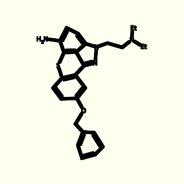 CCN(CC)CCn1nc2c3c(c(N)ccc31)Sc1ccc(OCc3ccccc3)cc1-2